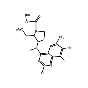 COCC1C(N(C)c2nc(Cl)nc3c(F)c(Br)c(C(F)(F)F)cc23)CCN1C(=O)OC(C)(C)C